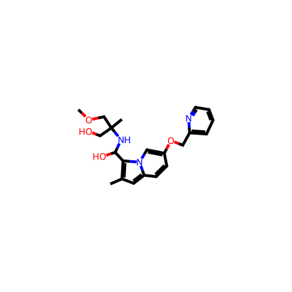 COCC(C)(CO)NC(O)c1c(C)cc2ccc(OCc3ccccn3)cn12